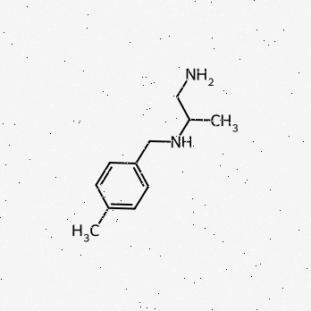 Cc1ccc(CNC(C)CN)cc1